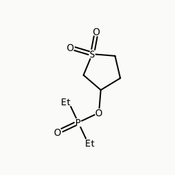 CCP(=O)(CC)OC1CCS(=O)(=O)C1